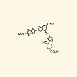 COc1cc(OCc2csc(C3(O)CCN(C(=O)O)CC3)n2)c2cc(-c3cn4nc(OC)sc4n3)oc2c1